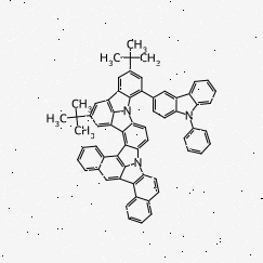 CC(C)(C)c1cc(-c2ccc3c(c2)c2ccccc2n3-c2ccccc2)c2c(c1)c1cc(C(C)(C)C)cc3c4c5c6c7ccccc7cc7c8c9ccccc9ccc8n(c5ccc4n2c13)c76